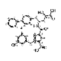 O=C(NC(Cc1ccc(-c2ccccc2)cc1)CC(O)C(=O)O)c1cc(C(=O)O)n(Cc2cc(F)cc(Cl)c2)n1